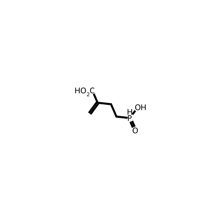 C=C(CC[PH](=O)O)C(=O)O